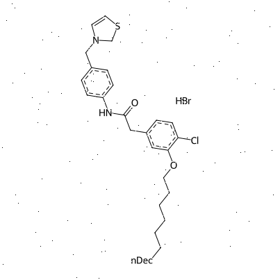 Br.CCCCCCCCCCCCCCCCOc1cc(CC(=O)Nc2ccc(CN3C=CSC3)cc2)ccc1Cl